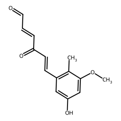 COc1cc(O)cc(/C=C/C(=O)/C=C/C=O)c1C